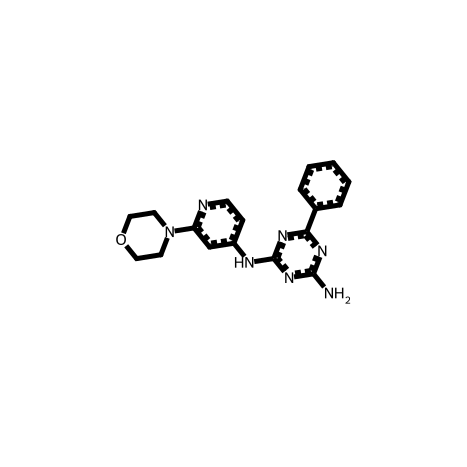 Nc1nc(Nc2ccnc(N3CCOCC3)c2)nc(-c2ccccc2)n1